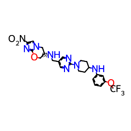 O=[N+]([O-])c1cn2c(n1)OC[C@@H](NCc1cnc(N3CCC(Nc4cccc(OC(F)(F)F)c4)CC3)nc1)C2